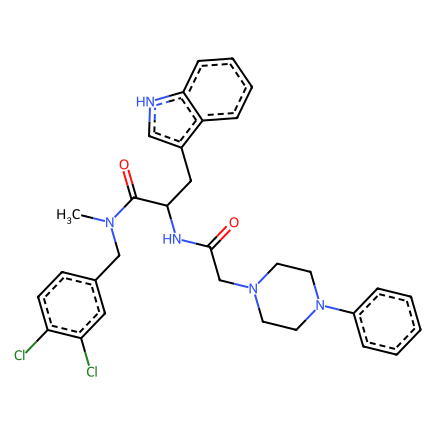 CN(Cc1ccc(Cl)c(Cl)c1)C(=O)C(Cc1c[nH]c2ccccc12)NC(=O)CN1CCN(c2ccccc2)CC1